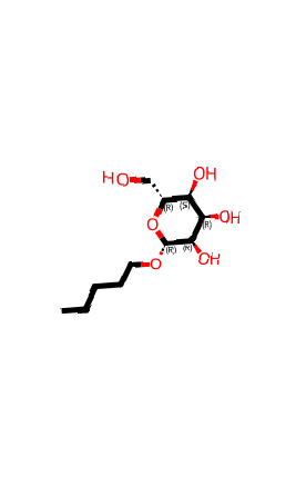 CCCCCO[C@@H]1O[C@H](CO)[C@@H](O)[C@@H](O)[C@H]1O